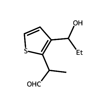 CCC(O)c1ccsc1C(C)C=O